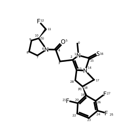 Cn1c(CC(=O)N2CCC[C@H]2CF)c2n(c1=S)C[C@@H](c1c(F)ccc(F)c1F)C2